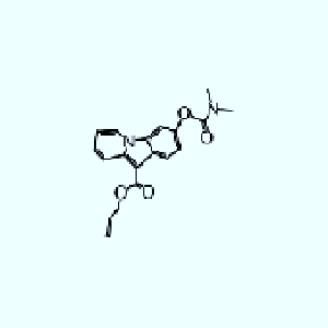 C=CCOC(=O)c1c2ccc(OC(=O)N(C)C)cc2n2ccccc12